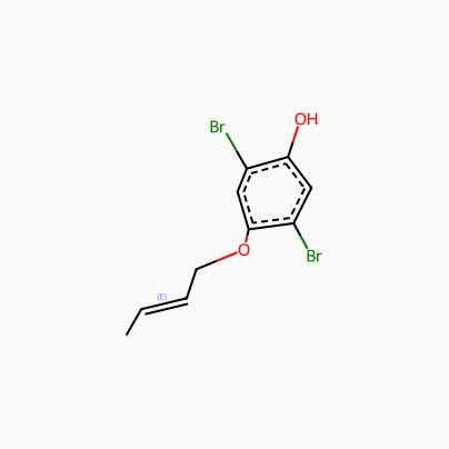 C/C=C/COc1cc(Br)c(O)cc1Br